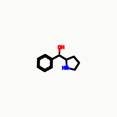 O[C@@H](c1ccccc1)C1CCCN1